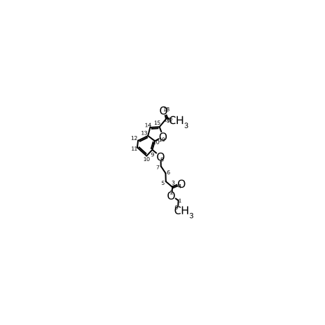 CCOC(=O)CCCOc1cccc2cc(C(C)=O)oc12